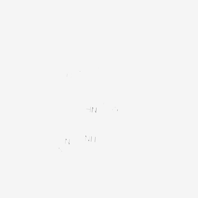 O=C(NCCNc1nsc2ccccc12)c1cccc(C(=O)c2ccccc2)c1